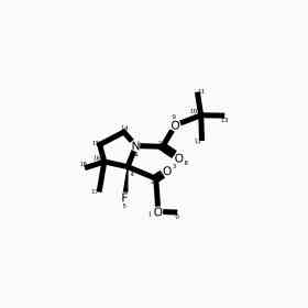 COC(=O)[C@@]1(F)N(C(=O)OC(C)(C)C)CCC1(C)C